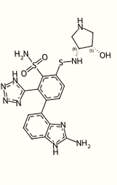 Nc1nc2c(-c3ccc(SN[C@@H]4CNC[C@@H]4O)c(S(N)(=O)=O)c3-c3nnn[nH]3)cccc2[nH]1